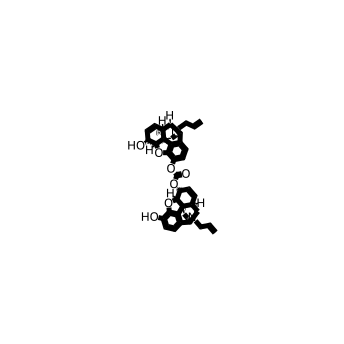 C=CCN1CC[C@]23c4c5ccc(O)c4O[C@H]2[C@@H](OC(=O)Oc2ccc4c6c2O[C@H]2[C@@H](O)C=C[C@H]7[C@@H](C4)N(CC=C)CC[C@@]672)C=C[C@H]3C1C5